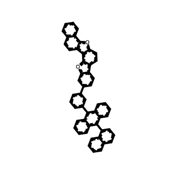 c1cc(-c2ccc3c(c2)oc2c3ccc3oc4c5ccccc5ccc4c32)cc(-c2c3ccccc3c(-c3cccc4ccccc34)c3ccccc23)c1